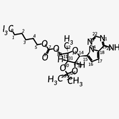 CCCCCCOC(=O)OC[C@@]1(C)O[C@@H](c2ccc3c(N)ncnn23)[C@@H]2OC(C)(C)O[C@@H]21